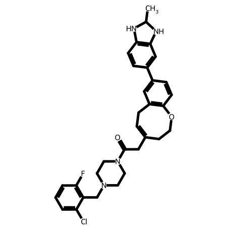 CC1Nc2ccc(-c3ccc4c(c3)C/C=C(/CC(=O)N3CCN(Cc5c(F)cccc5Cl)CC3)CCO4)cc2N1